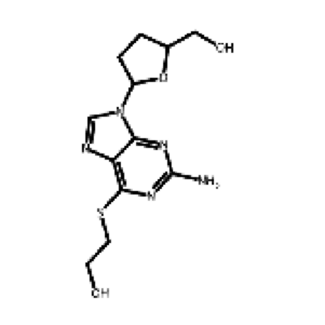 Nc1nc(SCCO)c2ncn(C3CCC(CO)O3)c2n1